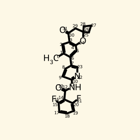 Cc1cc2c(cc1-c1ccc(NC(=O)c3c(F)cccc3F)nc1)OC1(CCC1)CC2=O